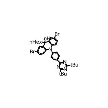 CCCCCCC1(CCCCCC)c2cc(Br)ccc2N(c2ccc(-c3nc(C(C)(C)C)nc(C(C)(C)C)n3)cc2)c2ccc(Br)cc21